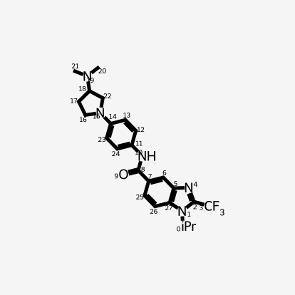 CC(C)n1c(C(F)(F)F)nc2cc(C(=O)Nc3ccc(N4CCC(N(C)C)C4)cc3)ccc21